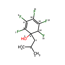 CC(C)CC1(O)C(F)=C(F)C(F)=C(F)C1F